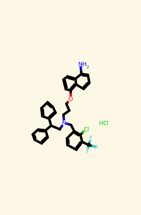 Cl.Nc1cccc2c(OCCCN(Cc3cccc(C(F)(F)F)c3Cl)CC(c3ccccc3)c3ccccc3)cccc12